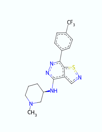 CN1CCC[C@@H](Nc2nnc(-c3ccc(C(F)(F)F)cc3)c3sncc23)C1